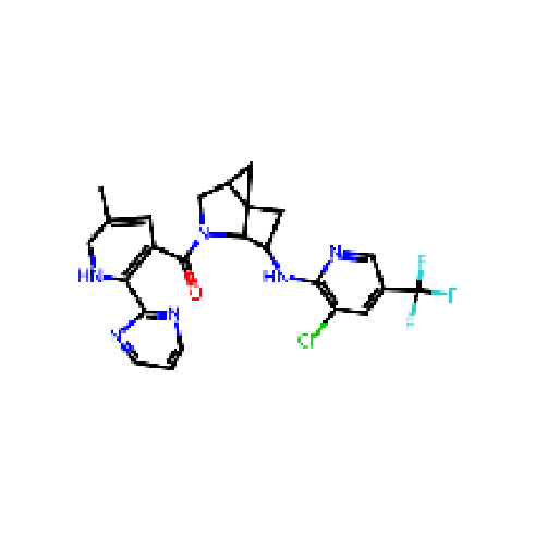 CC1=CC(C(=O)N2CC3CC34CC(Nc3ncc(C(F)(F)F)cc3Cl)C24)=C(c2ncccn2)NC1